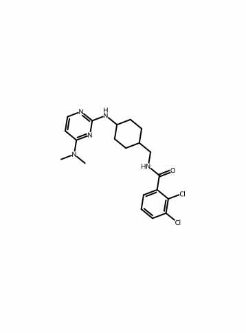 CN(C)c1ccnc(NC2CCC(CNC(=O)c3cccc(Cl)c3Cl)CC2)n1